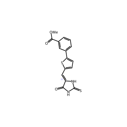 COC(=O)c1cccc(-c2ccc(/C=C3\NC(=S)NC3=O)s2)c1